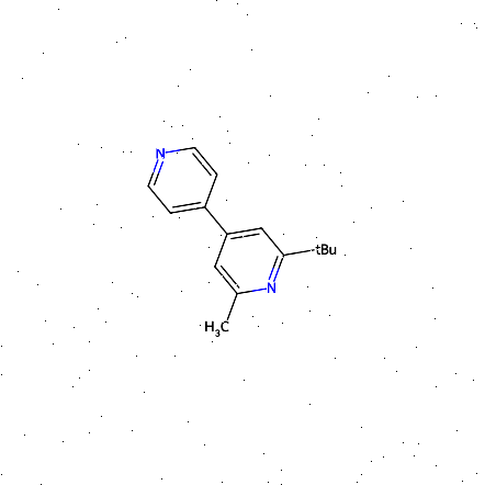 Cc1cc(-c2ccncc2)cc(C(C)(C)C)n1